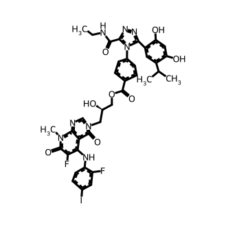 CCNC(=O)c1nnc(-c2cc(C(C)C)c(O)cc2O)n1-c1ccc(C(=O)OC[C@H](O)Cn2cnc3c(c(Nc4ccc(I)cc4F)c(F)c(=O)n3C)c2=O)cc1